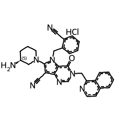 Cl.N#Cc1ccccc1Cn1c(N2CCC[C@H](N)C2)c(C#N)c2ncn(Cc3nccc4ccccc34)c(=O)c21